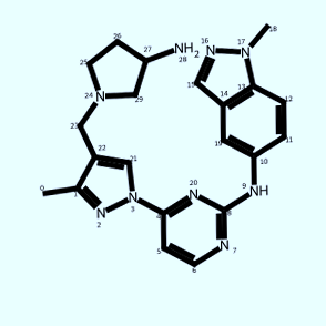 Cc1nn(-c2ccnc(Nc3ccc4c(cnn4C)c3)n2)cc1CN1CCC(N)C1